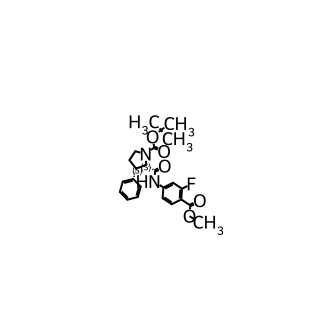 COC(=O)c1ccc(NC(=O)[C@@H]2[C@H](c3ccccc3)CCN2C(=O)OC(C)(C)C)cc1F